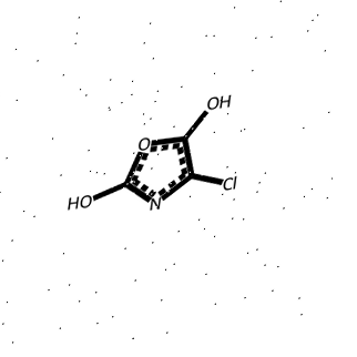 Oc1nc(Cl)c(O)o1